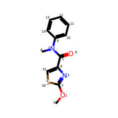 COc1nc(C(=O)N(C)c2ccccc2)cs1